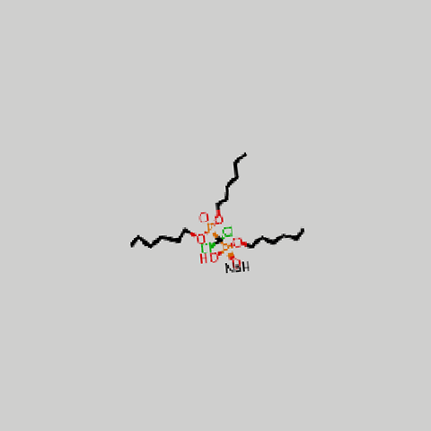 CCCCCCOP(=O)(O)C(Cl)(Cl)P(=O)(OCCCCCC)OCCCCCC.[NaH]